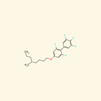 CCCC(C)CCCCOc1cc(F)c(-c2cc(F)c(F)c(F)c2)c(F)c1